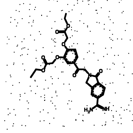 CCOC(=O)COc1ccc(C(=O)CN2Cc3cc(C(=N)N)ccc3C2=O)cc1OCC(=O)OCC